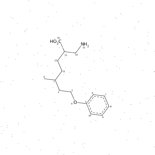 CC(CCOc1ccccc1)CCC(CN)C(=O)O